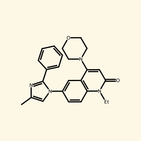 CCn1c(=O)cc(N2CCOCC2)c2cc(-n3cc(C)nc3-c3ccccc3)ccc21